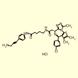 Cc1sc2c(c1C)C(c1ccc(Cl)cc1)=N[C@@H](CC(=O)NCCCCC(=O)Nc1ccc(C#CCN)cc1)c1nnc(C)n1-2.Cl